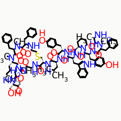 CCCC[C@@H](C(=O)N(C)CC(=O)N[C@H](C=O)CO)N(C)C(=O)C(Cc1ccccc1)N(C)C(=O)[C@H](Cc1ccccc1)NC(=O)CSC[C@H](NC(=O)[C@H](CC(C)C)NC(=O)[C@H](Cc1ccc(O)cc1)NC(=O)[C@H](Cc1c[nH]c2ccccc12)NC(=O)[C@H]1CCCCN1C(=O)[C@H](Cc1ccc(O)cc1)NC(=O)C(Cc1ccccc1)N(C)C(=O)[C@H](C)N)C(=O)NCC(N)=O